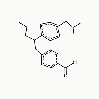 CCCC(Cc1ccc(C(=O)Cl)cc1)c1ccc(CC(C)C)cc1